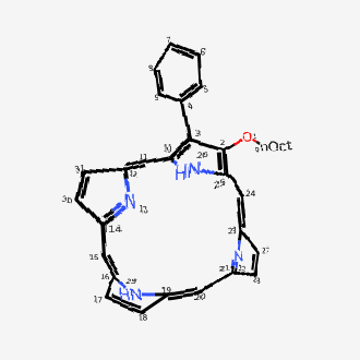 CCCCCCCCOc1c(-c2ccccc2)c2cc3nc(cc4ccc(cc5nc(cc1[nH]2)C=C5)[nH]4)C=C3